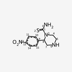 NC(=S)N1CCNCC1c1ccc([N+](=O)[O-])cc1